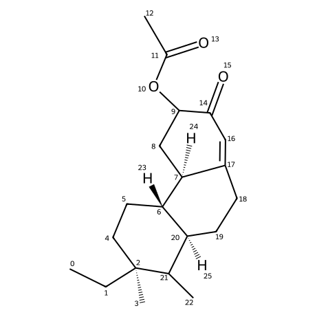 CC[C@@]1(C)CC[C@@H]2[C@H]3CC(OC(C)=O)C(=O)C=C3CC[C@H]2C1C